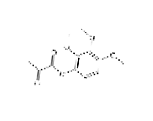 COc1ccc(OC(=O)C(C)=O)c(OC)c1OC